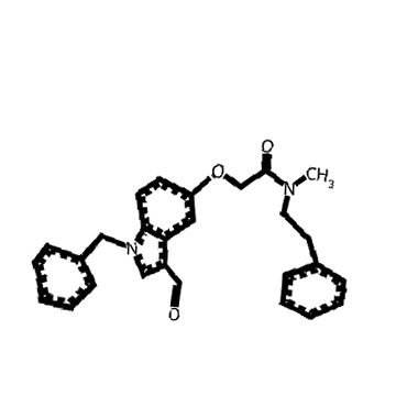 CN(CCc1ccccc1)C(=O)COc1ccc2c(c1)c(C=O)cn2Cc1ccccc1